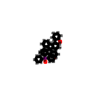 CC12C=CC=C(P(=O)(c3ccccc3)c3ccccc3)C1c1ccccc1C21c2ccccc2-c2c1ccc1oc3ccccc3c21